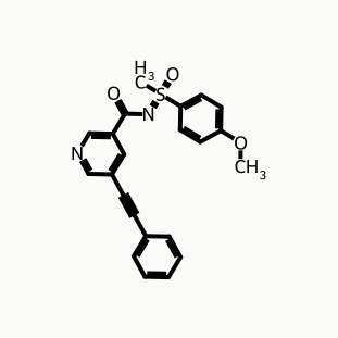 COc1ccc(S(C)(=O)=NC(=O)c2cncc(C#Cc3ccccc3)c2)cc1